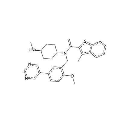 C=C(c1sc2ccccc2c1C)N(Cc1cc(-c2cncnc2)ccc1OC)[C@H]1CC[C@H](NC)CC1